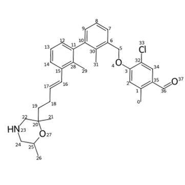 Cc1cc(OCc2cccc(-c3cccc(/C=C/CCC4(C)CNCC(C)O4)c3C)c2C)c(Cl)cc1C=O